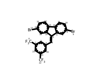 FC(F)(F)c1cc(C=C2c3cc(Br)ccc3-c3ccc(Br)cc32)cc(C(F)(F)F)c1